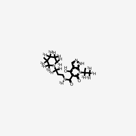 [2H]N(CCC([2H])([2H])N1C([2H])([2H])C([2H])([2H])C([2H])([2H])C([2H])(C)C1([2H])[2H])C(=O)c1c(O)c2cn[nH]c2n(C([2H])(C)C([2H])([2H])[2H])c1=O